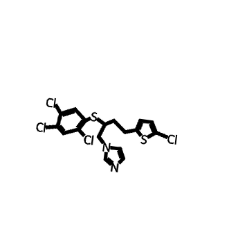 Clc1ccc(CCC(Cn2ccnc2)Sc2cc(Cl)c(Cl)cc2Cl)s1